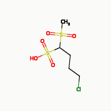 CS(=O)(=O)C(CCCCl)S(=O)(=O)O